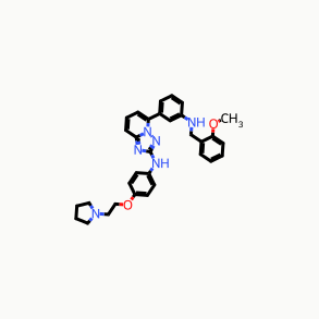 COc1ccccc1CNc1cccc(-c2cccc3nc(Nc4ccc(OCCN5CCCC5)cc4)nn23)c1